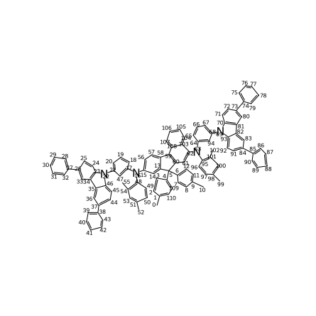 Cc1ccc(C2(c3ccc(C)cc3)c3cc(N(c4cccc(-n5c6ccc(-c7ccccc7)cc6c6cc(-c7ccccc7)ccc65)c4)c4ccc(C)cc4C)ccc3-c3c2cc(N(c2cccc(-n4c5ccc(-c6ccccc6)cc5c5cc(-c6ccccc6)ccc54)c2)c2ccc(C)cc2C)c2ccccc32)cc1